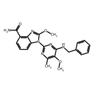 COc1c(C)nc(-n2c(OC)nc3c(C(N)=O)cccc32)nc1NCc1ccccc1